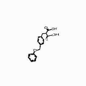 O=C(O)C(Cc1ccc(COc2ccccc2)cc1)C(=O)O